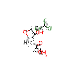 C1CCOC1.CC(C)=O.CO.ClC(Cl)Cl.O